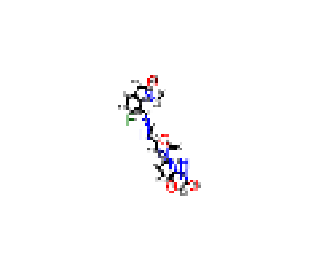 C=C1OC(CCNCc2c(F)ccc3c2N(CC)C(=O)C3)CN1c1ccc2c(n1)NC(=O)CO2